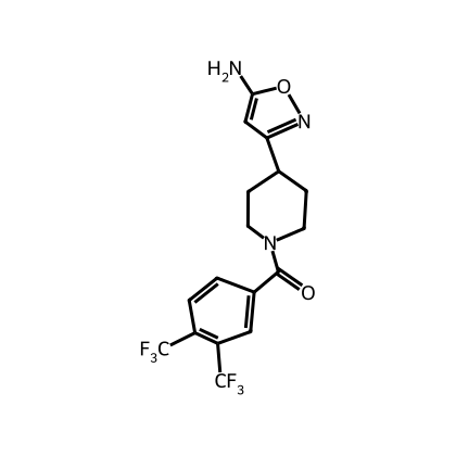 Nc1cc(C2CCN(C(=O)c3ccc(C(F)(F)F)c(C(F)(F)F)c3)CC2)no1